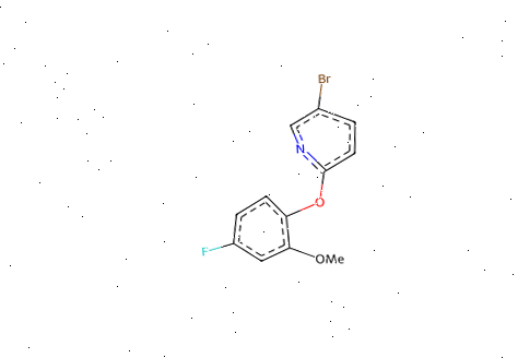 COc1cc(F)ccc1Oc1ccc(Br)cn1